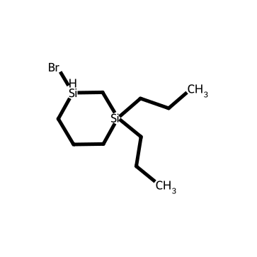 CCC[Si]1(CCC)CCC[SiH](Br)C1